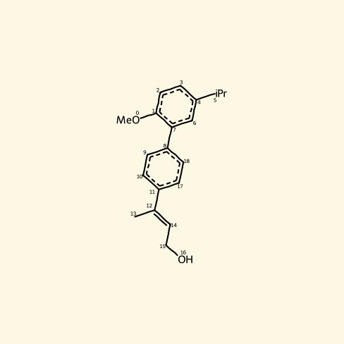 COc1ccc(C(C)C)cc1-c1ccc(C(C)=CCO)cc1